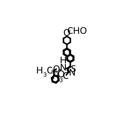 Cc1nsc(-c2ccc3cc(C4CCC(OC=O)CC4)ccc3c2)c1NC(=O)O[C@H](C)c1ccccc1